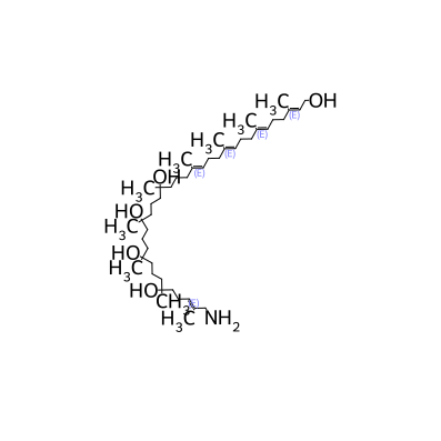 C/C(=C\CCC(C)(O)CCCC(C)(O)CCCC(C)(O)CCCC(C)(O)CCC/C(C)=C/CC/C(C)=C/CC/C(C)=C/CC/C(C)=C/CO)CN